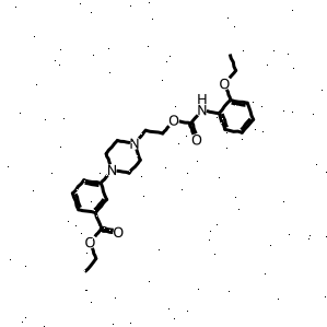 CCOC(=O)c1cccc(N2CCN(CCOC(=O)Nc3ccccc3OCC)CC2)c1